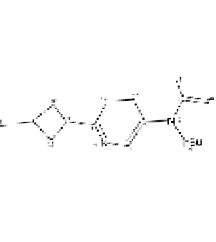 C=C(C)N(CCCC)C1=CN=C(C2CC(C)C2)CC1